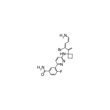 C=C(/C(Br)=C\C=C/N)C1(Nc2ccc(-c3cc(C(N)=O)ccc3F)nn2)CCC1